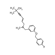 CN(C/C=C/C#CC(C)(C)C)Cc1cccc(OCc2ccc(F)cc2)c1